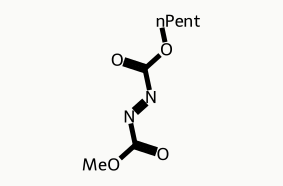 CCCCCOC(=O)/N=N/C(=O)OC